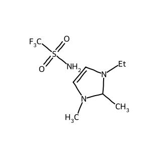 CCN1C=CN(C)C1C.NS(=O)(=O)C(F)(F)F